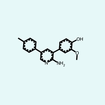 COc1cc(-c2cc(-c3ccc(C)cc3)cnc2N)ccc1O